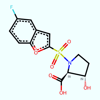 O=C(O)[C@@H]1[C@@H](O)CCN1S(=O)(=O)c1cc2cc(F)ccc2o1